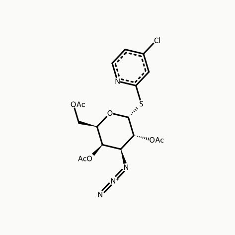 CC(=O)OC[C@H]1O[C@H](Sc2cc(Cl)ccn2)[C@H](OC(C)=O)[C@@H](N=[N+]=[N-])[C@H]1OC(C)=O